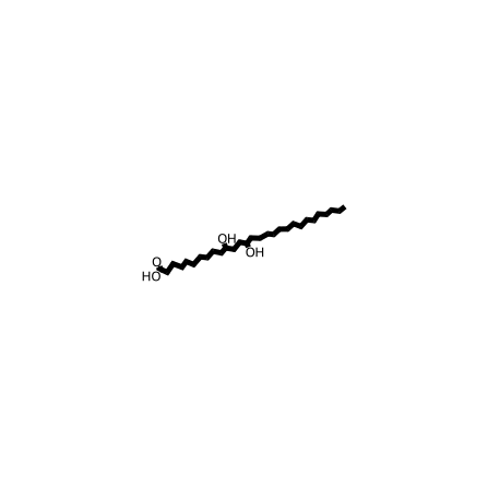 CCCCCCCCCCCCCCCC(O)CCC(O)CCCCCCCCCC(=O)O